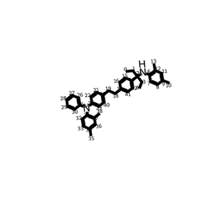 CCC(CC)(Nc1ccc(C)cc1C)c1ccc(CCc2ccc(N(c3ccccc3)c3ccc(C)cc3C)cc2)cc1